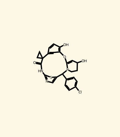 O=C1Nc2ncc(s2)C(c2ccc(Cl)cc2)N2CCC(O)C=C2Oc2cc(ccc2O)C12CC2